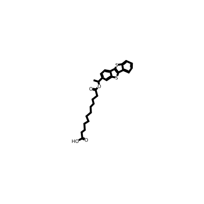 CC(OC(=O)CCCCCCCCCCC(=O)O)c1ccc2c(c1)sc1c3ccccc3sc21